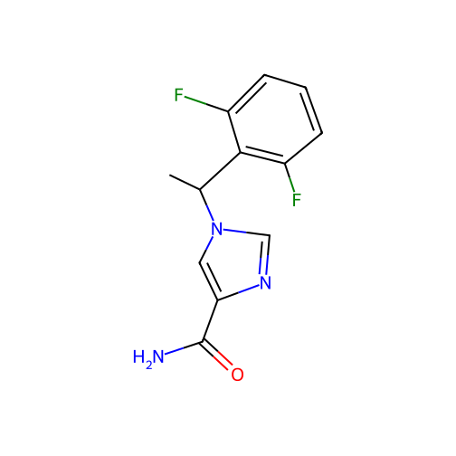 CC(c1c(F)cccc1F)n1cnc(C(N)=O)c1